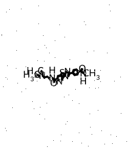 CCN(CC)CCCNC(=O)c1cc2sc3nc(-c4ccc(C(=O)NC)cc4)cn3c2cn1